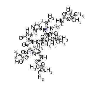 CN(Cc1cnn(C[C@H]2NC(=O)[C@H]2NC(=O)/C(=N\OC2(C(=O)O)CC2)c2csc(NC(=O)OC(C)(C)C)n2)n1)/C(=N/C(=O)OC(C)(C)C)N(CCCNC(=O)OC(C)(C)C)C(=O)OC(C)(C)C